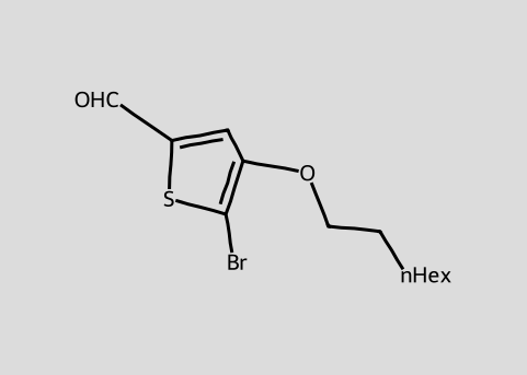 CCCCCCCCOc1cc(C=O)sc1Br